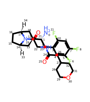 N[C@H](Cc1cc(F)c(F)cc1F)[C@H]1C[C@H]2CC[C@@H](C1)N2C(=O)CNC(=O)CC1CCOCC1